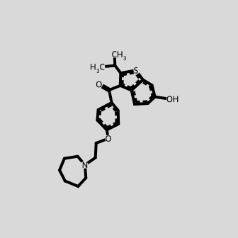 CC(C)c1sc2cc(O)ccc2c1C(=O)c1ccc(OCCN2CCCCCC2)cc1